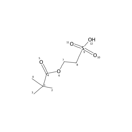 CC(C)(C)C(=O)OCCS(=O)(=O)O